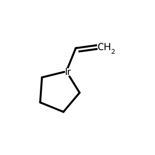 C=[CH][Ir]1[CH2]CC[CH2]1